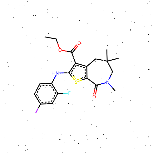 CCOC(=O)c1c(Nc2ccc(I)cc2F)sc2c1CC(C)(C)CN(C)C2=O